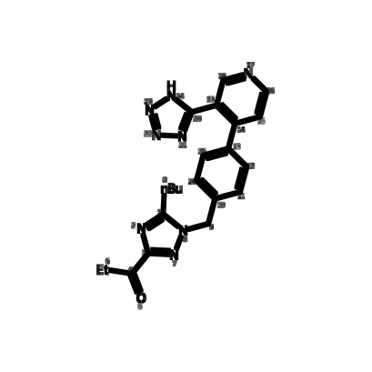 CCCCc1nc(C(=O)CC)nn1Cc1ccc(-c2ccncc2-c2nnn[nH]2)cc1